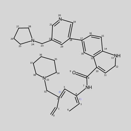 C=C/C(=C\C(=C/C)NC(=O)C1=CCNc2ccc(-c3cncc(CN4CCCC4)c3)cc21)CN1CCCCC1